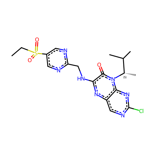 CCS(=O)(=O)c1cnc(CNc2nc3cnc(Cl)nc3n([C@@H](C)C(C)C)c2=O)nc1